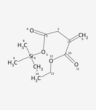 C=C(CC(=O)O[Si](C)(C)C)C(=O)OCC